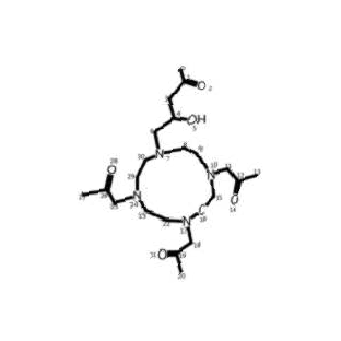 CC(=O)CC(O)CN1CCN(CC(C)=O)CCN(CC(C)=O)CCN(CC(C)=O)CC1